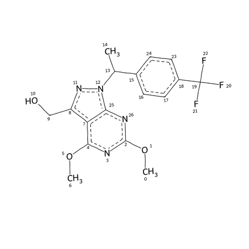 COc1nc(OC)c2c(CO)nn(C(C)c3ccc(C(F)(F)F)cc3)c2n1